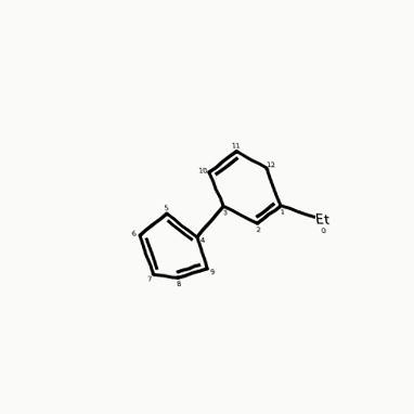 CCC1=CC(c2ccccc2)C=CC1